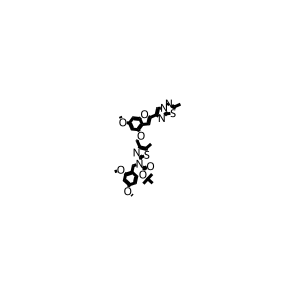 COc1ccc(CN(C(=O)OC(C)(C)C)c2nc(COc3cc(OC)cc4oc(-c5cn6nc(C)sc6n5)cc34)c(C)s2)c(OC)c1